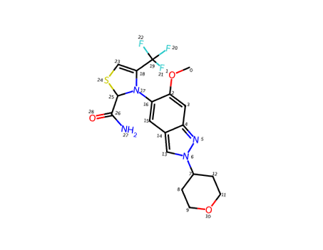 COc1cc2nn(C3CCOCC3)cc2cc1N1C(C(F)(F)F)=CSC1C(N)=O